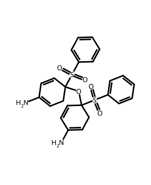 NC1=CCC(OC2(S(=O)(=O)c3ccccc3)C=CC(N)=CC2)(S(=O)(=O)c2ccccc2)C=C1